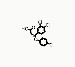 O=C(O)C[C@H](Oc1ccc(Cl)cc1)c1ccc(Cl)c(Cl)c1